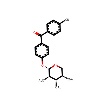 CC(=O)O[C@H]1[C@H](Oc2ccc(C(=O)c3ccc(C#N)cc3)cc2)OC[C@@H](OC(C)=O)[C@H]1OC(C)=O